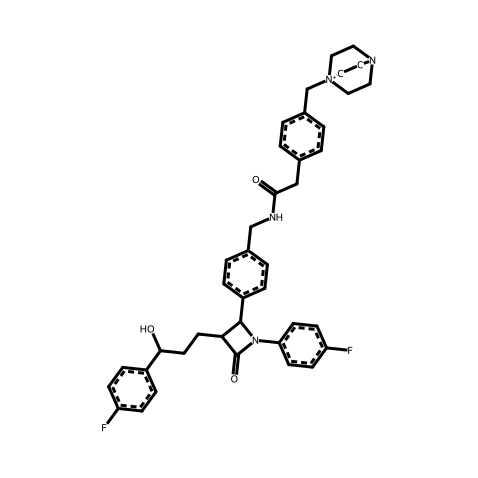 O=C(Cc1ccc(C[N+]23CCN(CC2)CC3)cc1)NCc1ccc(C2C(CCC(O)c3ccc(F)cc3)C(=O)N2c2ccc(F)cc2)cc1